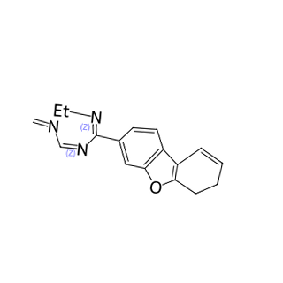 C=N/C=N\C(=N/CC)c1ccc2c3c(oc2c1)CCC=C3